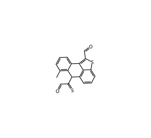 Cc1cccc2c1C(C(=S)C=O)c1cccc3sc(C=O)c-2c13